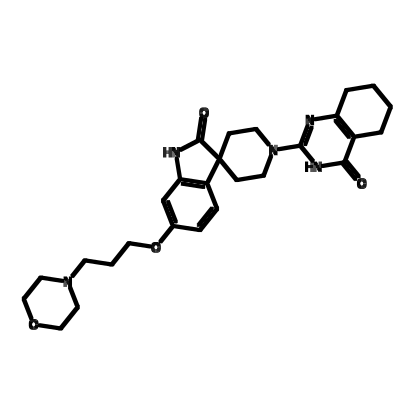 O=C1Nc2cc(OCCCN3CCOCC3)ccc2C12CCN(c1nc3c(c(=O)[nH]1)CCCC3)CC2